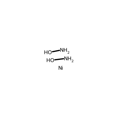 NO.NO.[Ni]